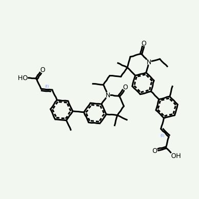 CCN1C(=O)CC(C)(CCC(C)N2C(=O)CC(C)(C)c3ccc(-c4cc(/C=C/C(=O)O)ccc4C)cc32)c2ccc(-c3cc(/C=C/C(=O)O)ccc3C)cc21